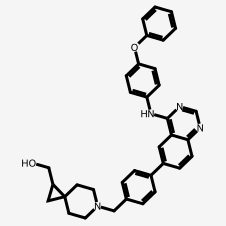 OCC1CC12CCN(Cc1ccc(-c3ccc4ncnc(Nc5ccc(Oc6ccccc6)cc5)c4c3)cc1)CC2